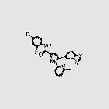 Cc1cccc(-n2nc(C(=O)Nc3ccc(F)cc3F)cc2-c2ccc3ncnn3c2)n1